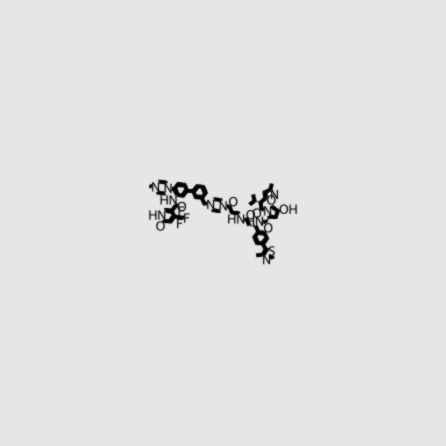 Cc1cc([C@H](C(=O)N2C[C@H](O)C[C@H]2C(=O)N[C@@H](CC(=O)NCCC(=O)N2CCN(Cc3cccc(-c4ccc(N5CCN(C)CC5)c(NC(=O)c5c[nH]c(=O)cc5C(F)(F)F)c4)c3)CC2)c2ccc(-c3scnc3C)cc2)C(C)C)on1